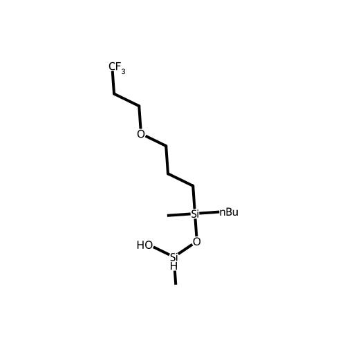 CCCC[Si](C)(CCCOCCC(F)(F)F)O[SiH](C)O